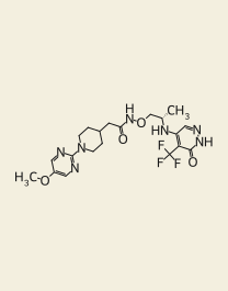 COc1cnc(N2CCC(CC(=O)NOC[C@H](C)Nc3cn[nH]c(=O)c3C(F)(F)F)CC2)nc1